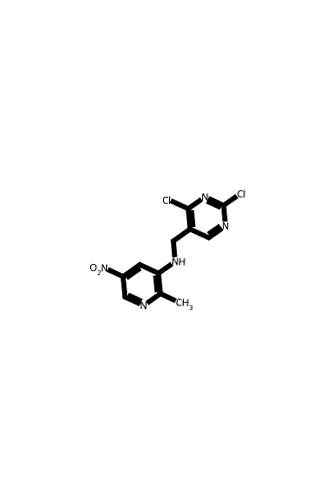 Cc1ncc([N+](=O)[O-])cc1NCc1cnc(Cl)nc1Cl